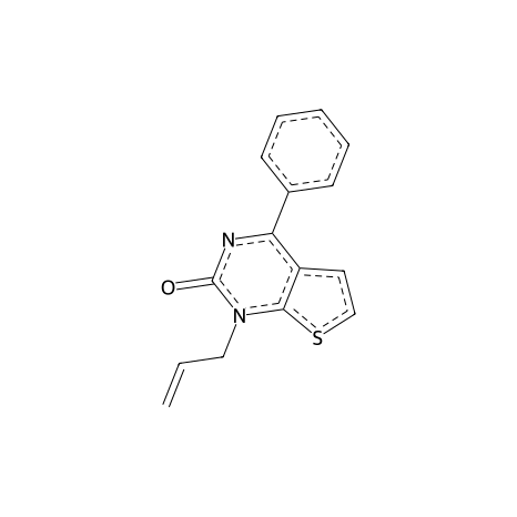 C=CCn1c(=O)nc(-c2ccccc2)c2ccsc21